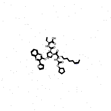 C/C=C\CCCCC[C@H](NC(=O)OC1CCCC1)C(=O)N1C[C@H](Oc2nc3ccccc3nc2-c2cccs2)C[C@H]1C(=O)N[C@@H](CC)C(=O)O